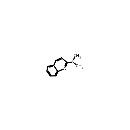 CN(C)c1[c]cc2ccccc2n1